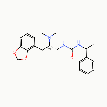 CC(NC(=O)NC[C@H](Cc1cccc2c1OCO2)N(C)C)c1ccccc1